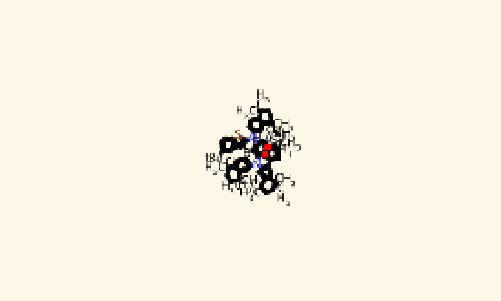 Cc1cc2c3c(c1)N(c1ccc4c(c1)C(C)(C)CCC4(C)C)c1sc4ccc(C(C)(C)C)cc4c1B3c1cc3c(cc1N2c1cc2c(cc1-c1ccc([Si](C)(C)C)cc1)C(C)(C)CCC2(C)C)C(C)(C)CCC3(C)C